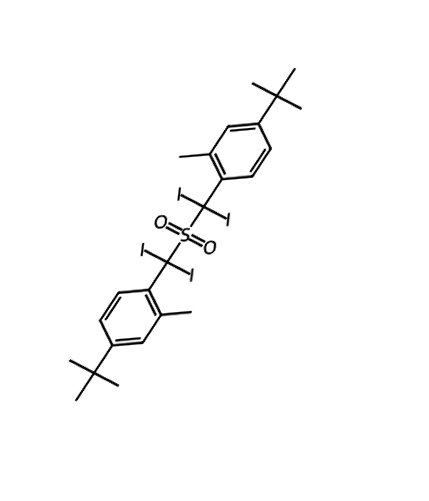 Cc1cc(C(C)(C)C)ccc1C(I)(I)S(=O)(=O)C(I)(I)c1ccc(C(C)(C)C)cc1C